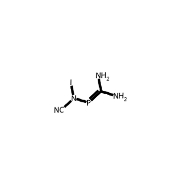 N#CN(I)P=C(N)N